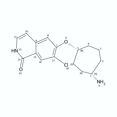 N[C@H]1CCC[C@@H](Oc2cc3cc[nH]c(=O)c3cc2Cl)CC1